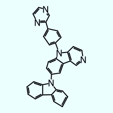 c1ccc2c(c1)c1ccccc1n2-c1ccc2c(c1)c1cnccc1n2-c1ccc(-c2cnccn2)cc1